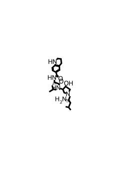 CC(C)C[C@H](N)CN1CC(O)C(NC(=O)[C@H](CC(C)C)NC(=O)c2ccc3c(c2)CCCN3)C1